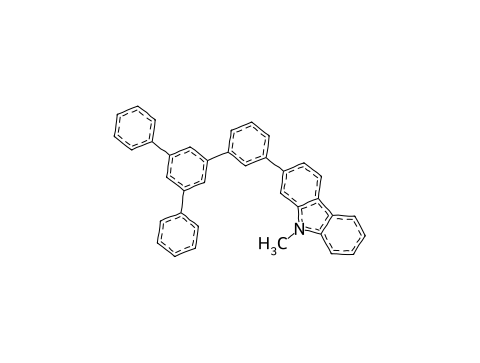 Cn1c2ccccc2c2ccc(-c3cccc(-c4cc(-c5ccccc5)cc(-c5ccccc5)c4)c3)cc21